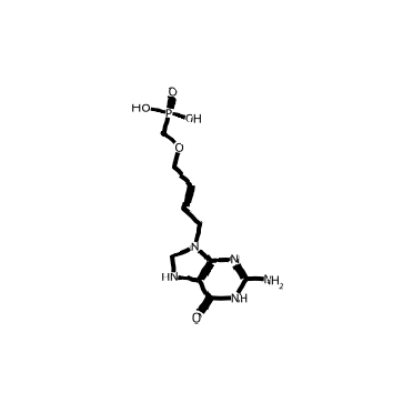 Nc1nc2c(c(=O)[nH]1)NCN2CC=CCOCP(=O)(O)O